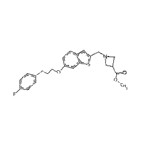 COC(=O)C1CN(Cc2cc3ccc(OCCCc4ccc(F)cc4)cc3s2)C1